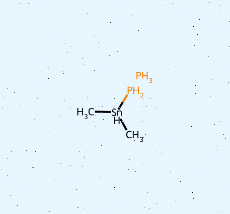 P.[CH3][SnH]([CH3])[PH2]